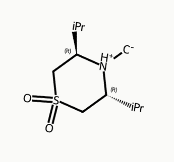 [CH2-][NH+]1[C@H](C(C)C)CS(=O)(=O)C[C@H]1C(C)C